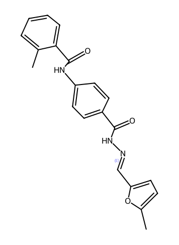 Cc1ccc(/C=N/NC(=O)c2ccc(NC(=O)c3ccccc3C)cc2)o1